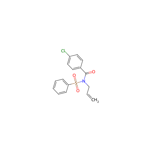 C=CCN(C(=O)c1ccc(Cl)cc1)S(=O)(=O)c1ccccc1